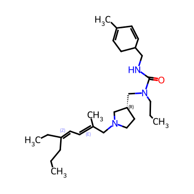 CCC/C(=C\C=C(/C)CN1CC[C@@H](CN(CCC)C(=O)NCC2C=CC(C)=CC2)C1)CC